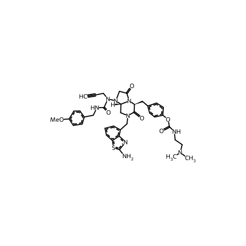 C#CCN(C(=O)NCc1ccc(OC)cc1)N1CC(=O)N2[C@@H](Cc3ccc(OC(=O)NCCN(C)C)cc3)C(=O)N(Cc3cccc4sc(N)nc34)C[C@@H]21